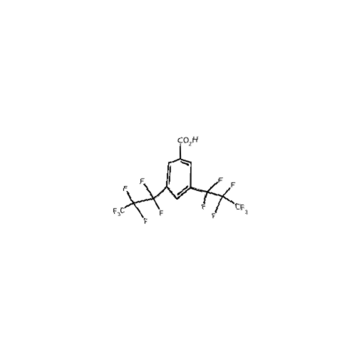 O=C(O)c1cc(C(F)(F)C(F)(F)C(F)(F)F)cc(C(F)(F)C(F)(F)C(F)(F)F)c1